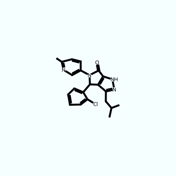 Cc1ccc(N2C(=O)c3[nH]nc(CC(C)C)c3C2c2ccccc2Cl)cn1